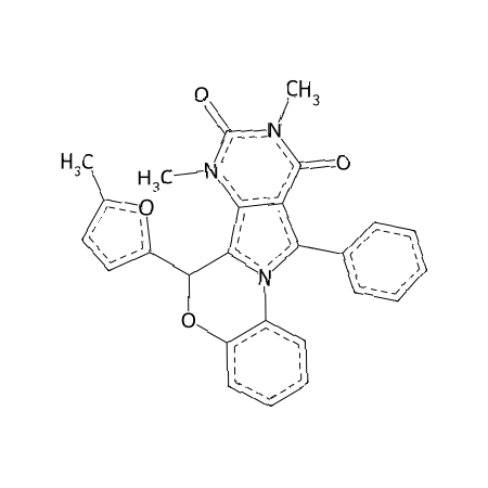 Cc1ccc(C2Oc3ccccc3-n3c(-c4ccccc4)c4c(=O)n(C)c(=O)n(C)c4c32)o1